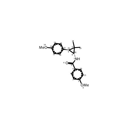 COc1ccc(C(=O)N[C@@H]2[C@@H](c3ccc(OC)cc3)C2(C)C)cc1